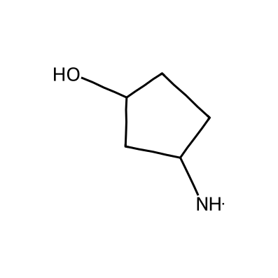 [NH]C1CCC(O)C1